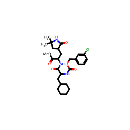 COC(=O)C(CC1CC(C)(C)NC1=O)NC(=O)C(CC1CCCCC1)NC(=O)OCc1cccc(Cl)c1